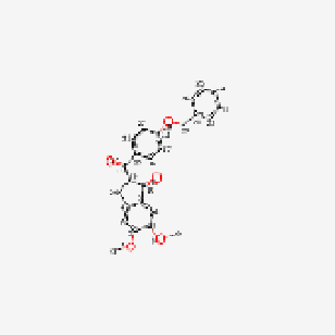 COc1cc2c(cc1OC)C(=O)C(C(=O)c1ccc(OCc3ccccc3)cc1)C2